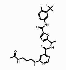 CC(=O)NCCCNc1cc(C(=O)NC(C)c2ncc(C(=O)Nc3cc(C(F)(F)F)c(Cl)cn3)s2)ncn1